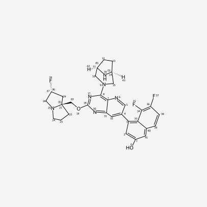 Oc1cc(-c2cnc3c(N4C[C@H]5CC[C@@H](C4)N5)nc(OC[C@@]45CCCN4C[C@H](F)C5)nc3c2)c2c(F)c(F)ccc2c1